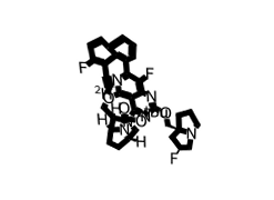 [2H]C#Cc1c(F)ccc2cccc(-c3nc4c5c(nc(OC[C@@]67CCCN6C[C@H](F)C7)nc5c3F)N3C[C@@H]5CC[C@H]([C@H]3CO4)N5C(=O)OC(C)(C)C)c12